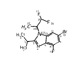 CC(O)c1nc2c(F)cc(Br)cc2n1C(C)C(F)F